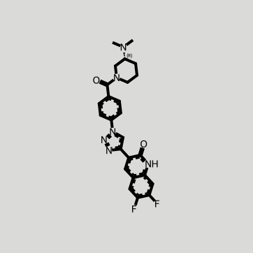 CN(C)[C@@H]1CCCN(C(=O)c2ccc(-n3cc(-c4cc5cc(F)c(F)cc5[nH]c4=O)nn3)cc2)C1